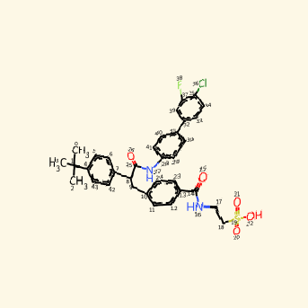 CC(C)(C)c1ccc(C(Cc2ccc(C(=O)NCCS(=O)(=O)O)cc2)C(=O)Nc2ccc(-c3ccc(Cl)c(F)c3)cc2)cc1